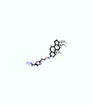 C[C@H]1CCC2C3CCC4CC(=NOCCc5ncc(CN)o5)CC[C@]4(C)C3CC[C@@]21C